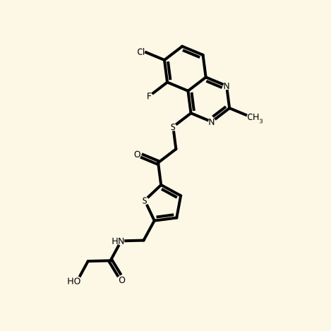 Cc1nc(SCC(=O)c2ccc(CNC(=O)CO)s2)c2c(F)c(Cl)ccc2n1